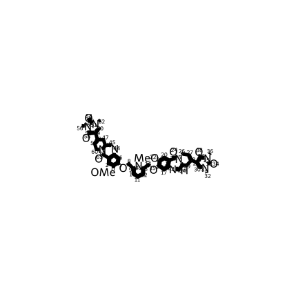 COc1cc2c(cc1OCc1cccc(COc3cc4c(cc3OC)C(=O)N3CC=C(c5cn(C)c(=O)n(C)c5=O)C[C@H]3C=N4)n1)N=CC1CC(c3cn(C)c(=O)n(C)c3=O)=CCN1C2=O